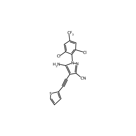 N#Cc1nn(-c2c(Cl)cc(C(F)(F)F)cc2Cl)c(N)c1C#Cc1cccs1